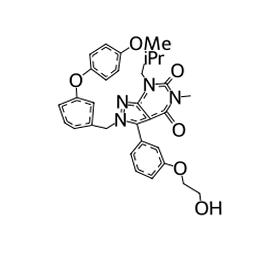 COc1ccc(Oc2cccc(Cn3nc4c(c3-c3cccc(OCCO)c3)c(=O)n(C)c(=O)n4CC(C)C)c2)cc1